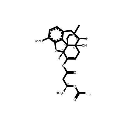 COc1ccc2c3c1O[C@H]1C(OC(=O)C[C@@H](OC(=O)C(F)(F)F)C(=O)O)=CC[C@@]4(O)[C@@H](C2)N(C)CC[C@]314